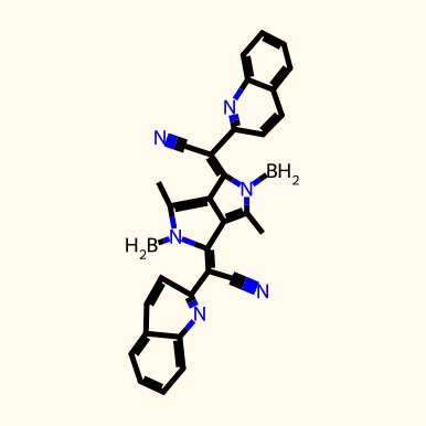 Bn1c(C)c2/c(=C(\C#N)c3ccc4ccccc4n3)n(B)c(C)c2/c1=C(\C#N)c1ccc2ccccc2n1